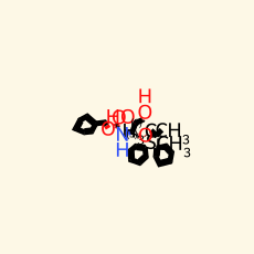 CC(C)(C)[Si](OC[C@H](NC(=O)OCc1ccccc1)[C@H](O)CO)(c1ccccc1)c1ccccc1